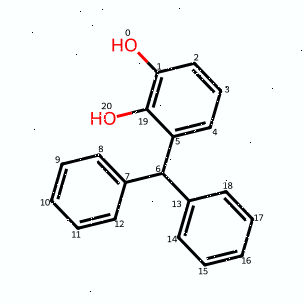 Oc1cccc(C(c2ccccc2)c2ccccc2)c1O